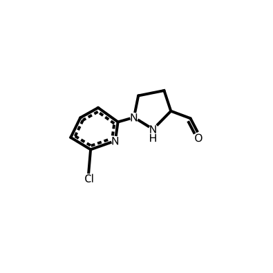 O=CC1CCN(c2cccc(Cl)n2)N1